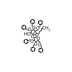 C=CCCCO[C@@H]1OC(COCc2ccccc2)[C@@H](OCc2ccccc2)[C@@H](OCc2ccccc2)C1O[C@@H]1OC(COCc2ccccc2)[C@@H](OCc2ccccc2)[C@@H](OCc2ccccc2)C1O